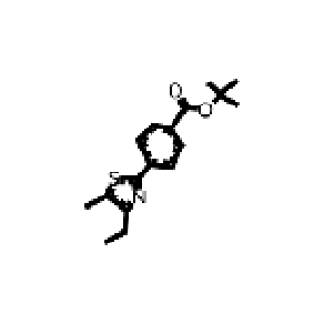 CCc1nc(-c2ccc(C(=O)OC(C)(C)C)cc2)sc1C